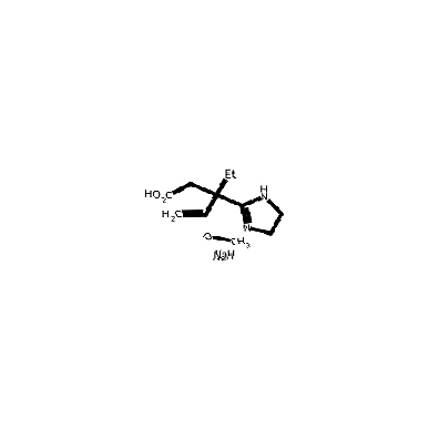 C=CC(CC)(CC(=O)O)C1=NCCN1.C[O].[NaH]